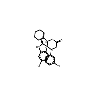 O=C1C[C@@H](c2cccc(Cl)c2)[C@]2(C(=O)Nc3cc(Cl)ccc32)[C@@H](C2=CCCCC2)N1